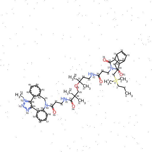 CCCS(C)(C)CCCC1C2C=CC1C1C(=O)N(CCC(=O)NCCC(C)(C)OCC(C)(C)C(=O)NCCC(=O)N3Cc4ccccc4-c4c(nnn4C)-c4ccccc43)C(=O)C21